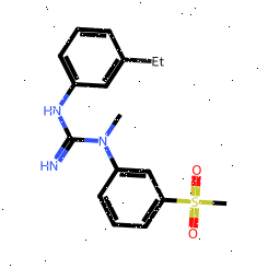 CCc1cccc(NC(=N)N(C)c2cccc(S(C)(=O)=O)c2)c1